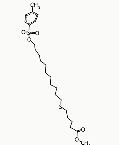 COC(=O)CCCCSCCCCCCCCCCCOS(=O)(=O)c1ccc(C)cc1